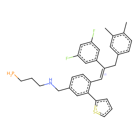 Cc1ccc(C/C(=C/c2ccc(CNCCCP)cc2-c2cccs2)c2cc(F)cc(F)c2)cc1C